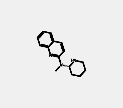 CN(c1ccc2ccccc2n1)[C@H]1CCCCN1